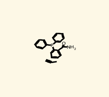 C#CC.NC(=O)c1ccccc1P(c1ccccc1)c1ccccc1